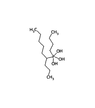 CCCCCC(CCC)P(O)(O)(O)CCCC